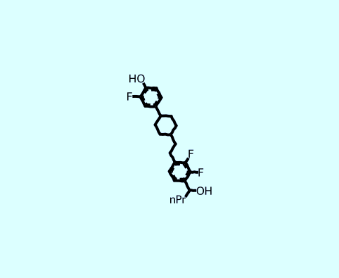 CCCC(O)c1ccc(CCC2CCC(c3ccc(O)c(F)c3)CC2)c(F)c1F